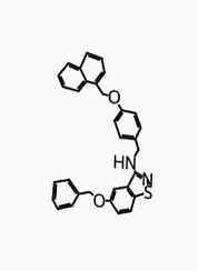 c1ccc(COc2ccc3snc(NCc4ccc(OCc5cccc6ccccc56)cc4)c3c2)cc1